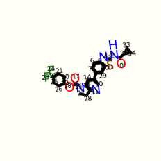 O=C(Nc1nc2ccc(-c3cnc4c(c3)N(C(=O)OC3CCC(F)(F)CC3)CC4)cc2s1)C1CC1